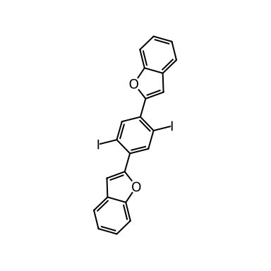 Ic1cc(-c2cc3ccccc3o2)c(I)cc1-c1cc2ccccc2o1